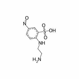 NCCNc1ccc(N=O)cc1S(=O)(=O)O